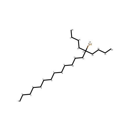 CCCCCCCCCCCCCC(S)(CCCC)CCCC